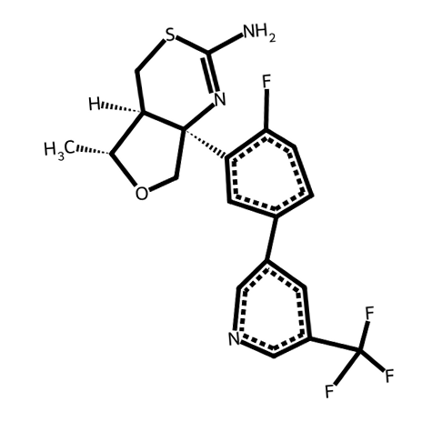 C[C@H]1OC[C@]2(c3cc(-c4cncc(C(F)(F)F)c4)ccc3F)N=C(N)SC[C@H]12